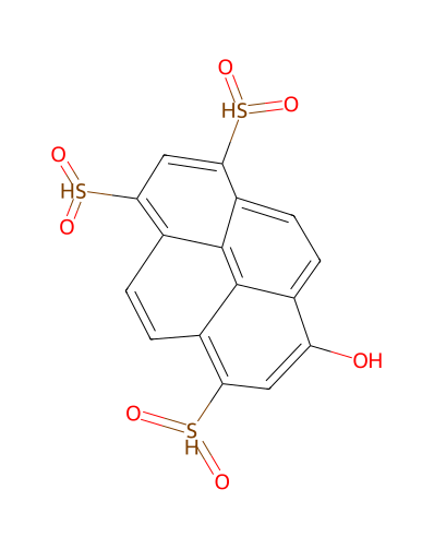 O=[SH](=O)c1cc(O)c2ccc3c([SH](=O)=O)cc([SH](=O)=O)c4ccc1c2c34